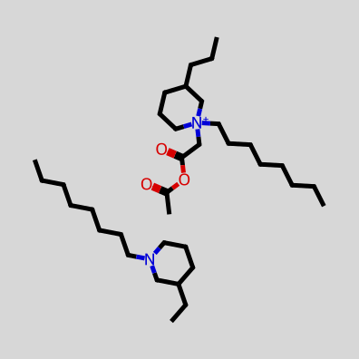 CCCCCCCCN1CCCC(CC)C1.CCCCCCCC[N+]1(CC(=O)OC(C)=O)CCCC(CCC)C1